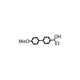 CCC(O)c1ccc(-c2ccc(OC)cc2)cc1